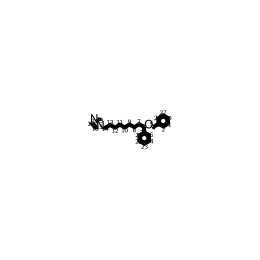 c1ccc(COC(CCCCCCCCn2ccnc2)c2ccccc2)cc1